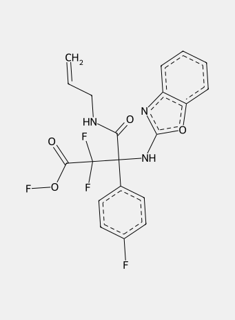 C=CCNC(=O)C(Nc1nc2ccccc2o1)(c1ccc(F)cc1)C(F)(F)C(=O)OF